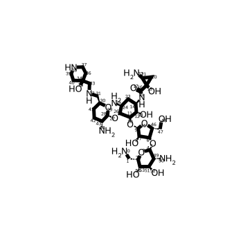 NC[C@@H]1O[C@H](O[C@H]2[C@@H](O)[C@H](O[C@@H]3[C@@H](O)[C@H](NC(=O)C4(O)CC4N)C[C@H](N)[C@H]3O[C@H]3O[C@H](CNCC4(O)CCNCC4)CC[C@H]3N)O[C@@H]2CO)[C@H](N)[C@@H](O)[C@@H]1O